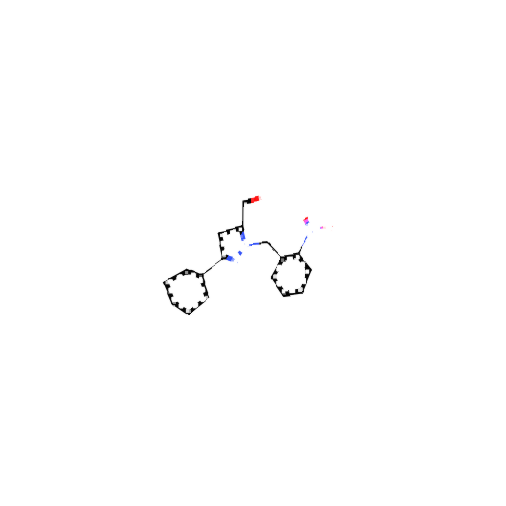 O=Cc1cc(-c2ccccc2)nn1Cc1ccccc1[N+](=O)[O-]